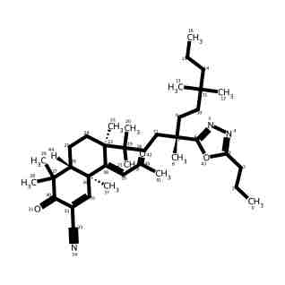 CCCc1nnc([C@@](C)(CCC(C)(C)CCC)CCC(C)(C)[C@]2(C)CC[C@H]3C(C)(C)C(=O)C(C#N)=C[C@]3(C)/C2=C/C(C)=O)o1